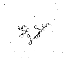 [Gd+3].[Gd+3].[O]=[Cr]([O-])[O-].[O]=[Cr]([O-])[O-].[O]=[Cr]([O-])[O-]